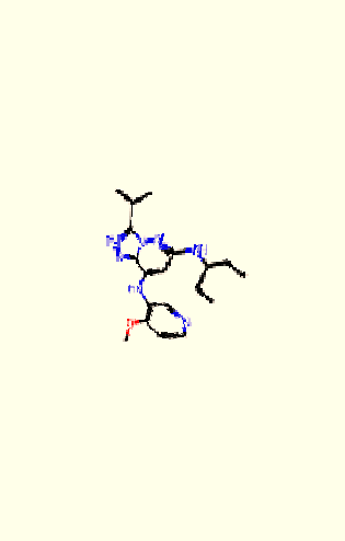 CCC(CC)Nc1cc(Nc2cnccc2OC)c2nnc(C(C)C)n2n1